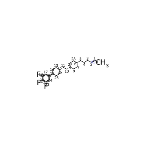 C/C=C/CCC[C@H]1CC[C@H](CC[C@H]2CC[C@H](c3cc(F)c(F)c(F)c3)CC2)CC1